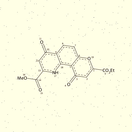 CCOC(=O)c1cc(=O)c2c(ccc3c(=O)cc(C(=O)OC)[nH]c32)o1